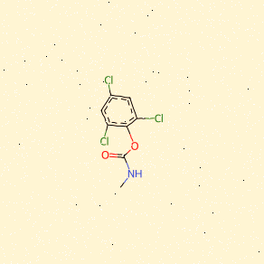 CNC(=O)Oc1c(Cl)cc(Cl)cc1Cl